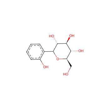 OC[C@H]1OC(c2ccccc2O)[C@H](O)[C@@H](O)[C@@H]1O